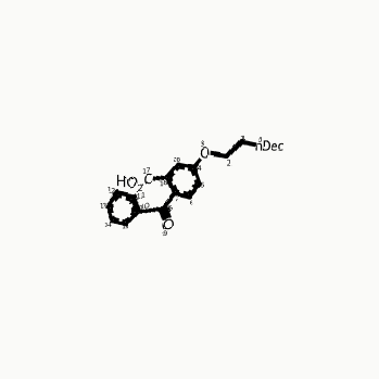 CCCCCCCCCCCCOc1ccc(C(=O)c2ccccc2)c(C(=O)O)c1